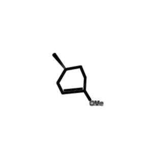 COC1=CC[C@@H](C)CC1